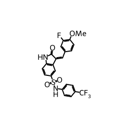 COc1ccc(C=C2C(=O)Nc3ccc(S(=O)(=O)Nc4ccc(C(F)(F)F)cc4)cc32)cc1F